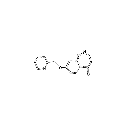 O=c1ccnnc2cc(OCc3ccccn3)ccc12